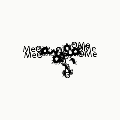 C=CC[C@H](C(=O)N1CC=CC[C@H]1C(=O)OC(CCc1ccc(OC)c(OC)c1)c1cccc(OCCN2CCOCC2)c1)c1cc(OC)c(OC)c(OC)c1